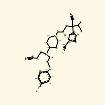 CC(C)C(C#N)(CCCN1CCC(N(CCC#N)CCOc2ccc(F)cc2)CC1)c1ccc(C#N)s1